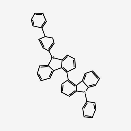 C1=CC(c2ccccc2)CC=C1n1c2ccccc2c2c(-c3cccc4c3c3ccccc3n4-c3ccccc3)cccc21